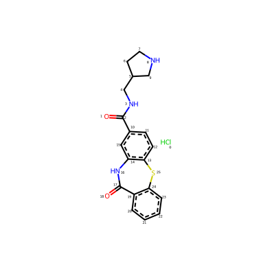 Cl.O=C(NCC1CCNC1)c1ccc2c(c1)NC(=O)c1ccccc1S2